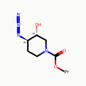 CC(C)OC(=O)N1CC[C@@H](N=[N+]=[N-])[C@H](O)C1